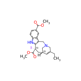 CCC1=C[C@H]2CN(C1)Cc1c([nH]c3ccc(C(=O)OC)cc13)[C@](I)(C(=O)OC)C2